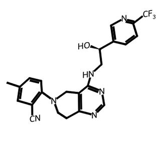 Cc1ccc(N2CCc3ncnc(NC[C@@H](O)c4ccc(C(F)(F)F)nc4)c3C2)c(C#N)c1